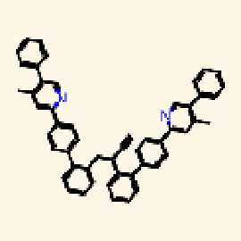 C#CC(Cc1ccccc1-c1ccc(-c2cc(C)c(-c3ccccc3)cn2)cc1)c1ccccc1-c1ccc(-c2cc(C)c(-c3ccccc3)cn2)cc1